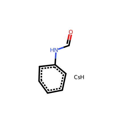 O=CNc1ccccc1.[CsH]